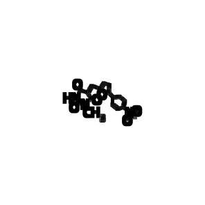 CN1C(=O)NC(=O)C(=Cc2ccc(-c3ccc([N+](=O)[O-])cc3)o2)C1=O